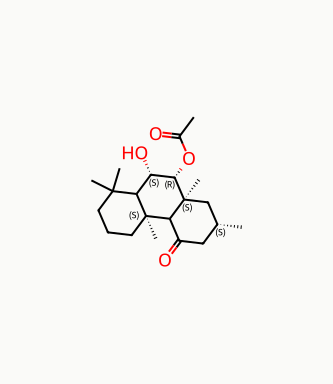 CC(=O)O[C@H]1[C@@H](O)C2C(C)(C)CCC[C@]2(C)C2C(=O)C[C@@H](C)C[C@@]21C